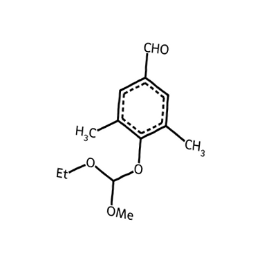 CCOC(OC)Oc1c(C)cc(C=O)cc1C